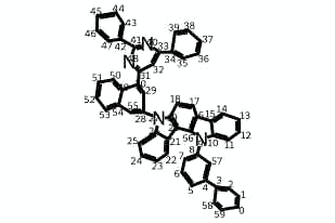 c1ccc(-c2cccc(-n3c4ccccc4c4ccc5c(c6ccccc6n5-c5cc(-c6cc(-c7ccccc7)nc(-c7ccccc7)n6)c6ccccc6c5)c43)c2)cc1